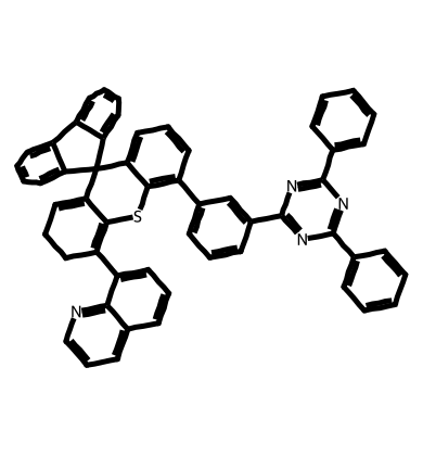 C1=C2C(=C(c3cccc4cccnc34)CC1)Sc1c(-c3cccc(-c4nc(-c5ccccc5)nc(-c5ccccc5)n4)c3)cccc1C21c2ccccc2-c2ccccc21